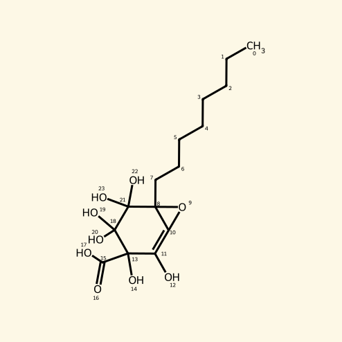 CCCCCCCCC12OC1=C(O)C(O)(C(=O)O)C(O)(O)C2(O)O